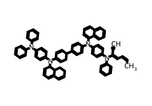 C#C/C(=C\C=C/C)N(c1ccccc1)c1ccc(N(c2ccc(C3C=CC(N(c4ccc(N(c5ccccc5)c5ccccc5)cc4)C4C=CC=C5C=CCCC54)=CC3)cc2)c2cccc3ccccc23)cc1